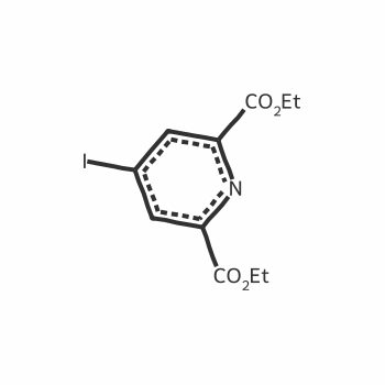 CCOC(=O)c1cc(I)cc(C(=O)OCC)n1